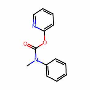 CN(C(=O)Oc1ccccn1)c1ccccc1